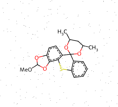 COC1Oc2ccc3c(c2O1)Sc1ccccc1C31OC(C)CC(C)O1